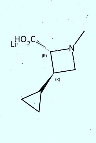 CN1C[C@@H](C2CC2)[C@@H]1C(=O)O.[Li]